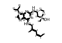 C/C=C\C=C(/C)CNc1nc(N[C@H](CC)C[Si](C)(C)O)nc2c1ncn2C(C)C